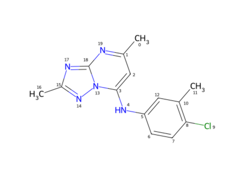 Cc1cc(Nc2ccc(Cl)c(C)c2)n2nc(C)nc2n1